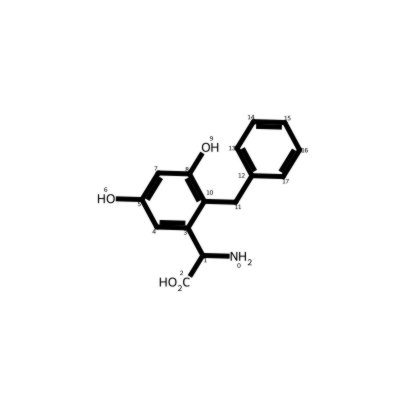 NC(C(=O)O)c1cc(O)cc(O)c1Cc1ccccc1